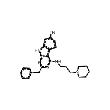 N#Cc1ccc2c(c1)[nH]c1nc(Cc3ccccc3)nc(NCCCN3CCCCC3)c12